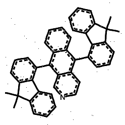 CC1(C)c2ccccc2-c2c(-c3c4ccccc4c(-c4cccc5c4-c4ccccc4C5(C)C)c4cnccc34)cccc21